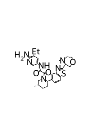 CCc1cc(NC(=O)C(=O)N2C[C@@H](C)CC[C@@H]2c2ccc3sc(C4COCCN4C)nc3c2)cnc1N